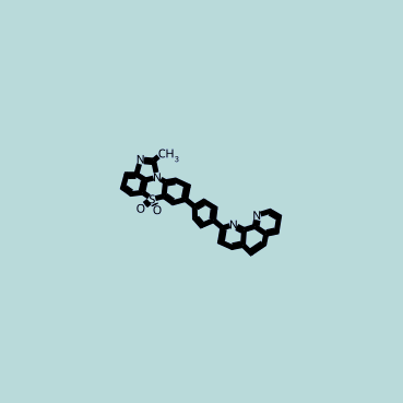 Cc1nc2cccc3c2n1-c1ccc(-c2ccc(-c4ccc5ccc6cccnc6c5n4)cc2)cc1S3(=O)=O